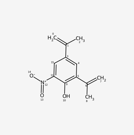 C=C(C)c1cc(C(=C)C)c(O)c([N+](=O)[O-])c1